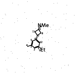 CCc1cc(C)cc(C2CC(NC)C2)c1